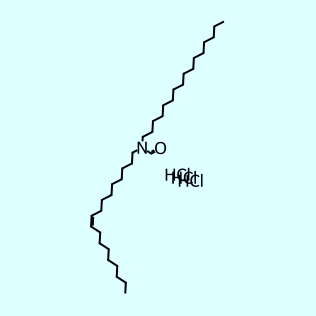 CCCCCCCC/C=C\CCCCCCCCN(C=O)CCCCCCCCCCCCCCCC.Cl.Cl.Cl